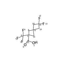 O=C(O)C1(C(F)(F)F)CC2(CC(F)(F)C2)C1